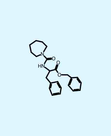 O=C(OCc1ccccc1)C(Cc1ccccc1)NC(=O)N1CCCCCC1